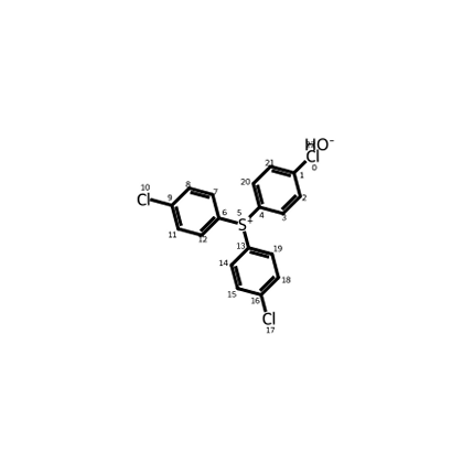 Clc1ccc([S+](c2ccc(Cl)cc2)c2ccc(Cl)cc2)cc1.[OH-]